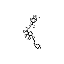 C=Nc1c(C(=O)N(C)CNC(=O)c2cnc(N)nc2)ccc(OCCCN2CCOCC2)c1OC